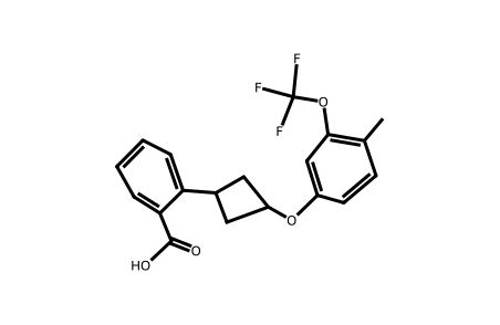 Cc1ccc(OC2CC(c3ccccc3C(=O)O)C2)cc1OC(F)(F)F